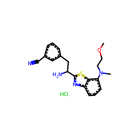 COCCN(C)c1cccc2nc(C(N)Cc3cccc(C#N)c3)sc12.Cl